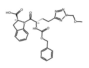 COCn1nnc(CC[C@H](NC(=O)OCc2ccccc2)C(=O)N2c3ccccc3C[C@H]2C(=O)O)n1